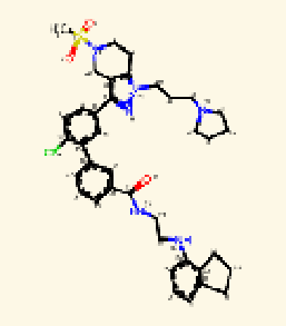 CS(=O)(=O)N1CCc2c(c(-c3ccc(Cl)c(-c4cccc(C(=O)NCCNc5cccc6c5CCC6)c4)c3)nn2CCCN2CCCC2)C1